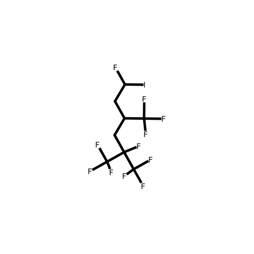 FC(I)CC(CC(F)(C(F)(F)F)C(F)(F)F)C(F)(F)F